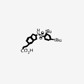 CC(C)(C)c1ccc(S(=O)(=O)NC2Cc3ccc(CCC(=O)O)cc3C2)c(C(C)(C)C)c1